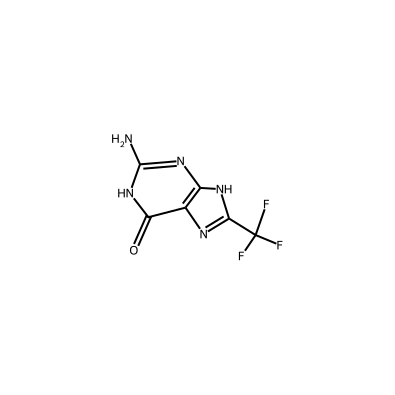 Nc1nc2[nH]c(C(F)(F)F)nc2c(=O)[nH]1